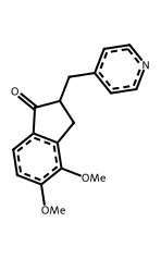 COc1ccc2c(c1OC)CC(Cc1ccncc1)C2=O